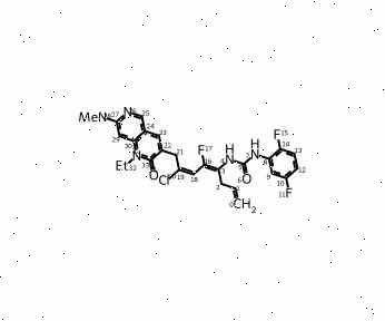 C=CC/C(NC(=O)Nc1cc(F)ccc1F)=C(F)\C=C(\Cl)Cc1cc2cnc(NC)cc2n(CC)c1=O